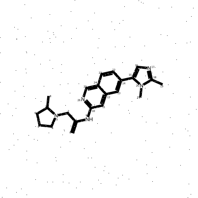 C=C(CN1CCCC1C)Nc1cc2cc(-c3cnc(C)n3C)ccc2cn1